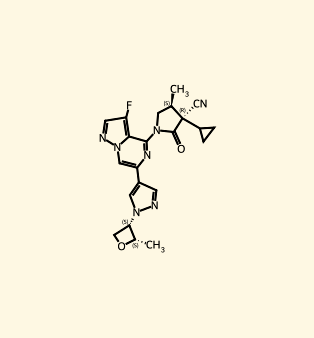 C[C@@H]1OC[C@@H]1n1cc(-c2cn3ncc(F)c3c(N3C[C@@H](C)[C@@](C#N)(C4CC4)C3=O)n2)cn1